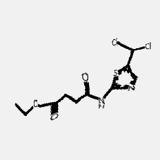 CCOC(=O)CCC(=O)Nc1ncc(C(Cl)Cl)s1